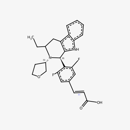 CCC1Cc2c([nH]c3ccccc23)[C@@H](c2c(F)cc(/C=C/C(=O)O)cc2F)N1[C@H]1CCOC1